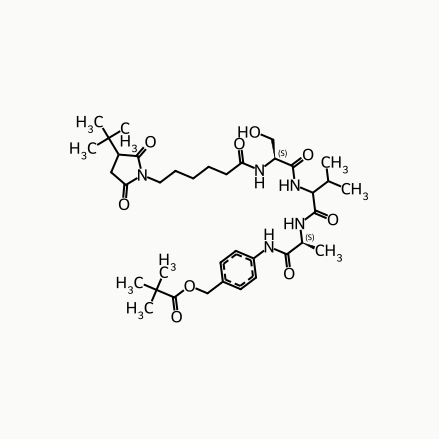 CC(C)C(NC(=O)[C@H](CO)NC(=O)CCCCCN1C(=O)CC(C(C)(C)C)C1=O)C(=O)N[C@@H](C)C(=O)Nc1ccc(COC(=O)C(C)(C)C)cc1